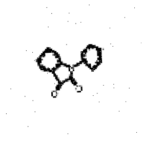 O=C1C(=O)N(c2cc[c]cc2)c2ccccc21